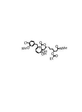 CCC(=O)OC(CCC[C@@H]1C[C@]2(O)[C@H](O)C=CC=C(Cc3ccc(Cl)c(OC)c3)N2C(=O)O1)CC(=O)NC